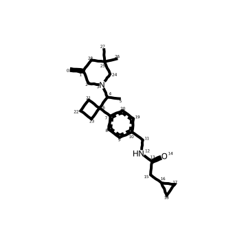 C=C1CN(C(C)C2(c3ccc(CNC(=O)CC4CC4)cc3)CCC2)CC(C)(C)C1